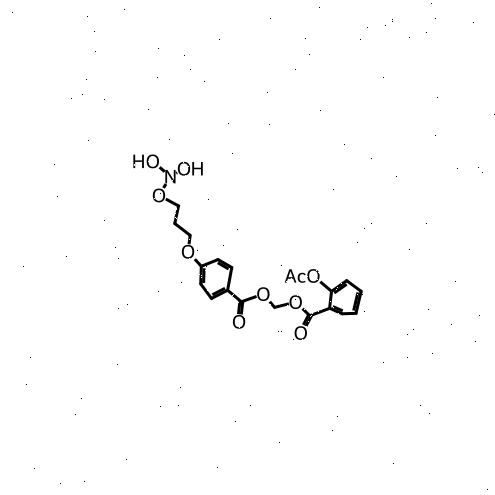 CC(=O)Oc1ccccc1C(=O)OCOC(=O)c1ccc(OCCCON(O)O)cc1